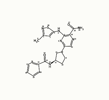 Cc1cc(Nc2nc(C3CC[C@@H](NC(=O)c4ccccc4)C3)cnc2C(N)=O)sn1